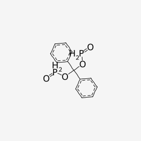 O=[PH2]OC(O[PH2]=O)(c1ccccc1)c1ccccc1